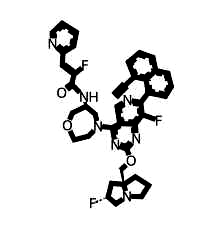 C#Cc1cccc2cccc(-c3ncc4c(N5CCOC[C@@H](NC(=O)/C(F)=C/c6ccccn6)C5)nc(OC[C@@]56CCCN5C[C@H](F)C6)nc4c3F)c12